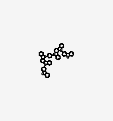 c1ccc2c(c1)oc1ccc(-n3c4ccccc4c4c3ccc3c5ccccc5n(-c5ccc(-n6c7ccccc7c7c6ccc6c8ccccc8n(-c8ccc9oc%10ccccc%10c9c8)c67)cc5)c34)cc12